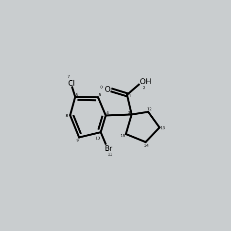 O=C(O)C1(c2cc(Cl)ccc2Br)CCCC1